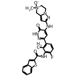 Cc1c(-c2cc(Nc3cc4n(n3)CC[N+](C)([O-])C4)c(=O)[nH]n2)ccc(F)c1NC(=O)c1cc2ccccc2s1